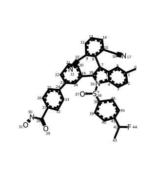 Cc1ccc2c(c1)c(-c1c(C#N)cccc1C#N)c(-c1cccc(-c3ccc(C(=O)N=O)cc3)c1)n2[S+]([O-])c1ccc(C(C)F)cc1